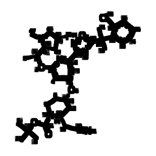 C[C@H](Oc1cc(O[C@H]2CCN(C(=O)OC(C)(C)C)[C@H](CC#N)C2)nc(-c2noc(C(C)(C)c3ccccc3Cl)n2)n1)[C@@H]1C[C@@H](F)CN1C